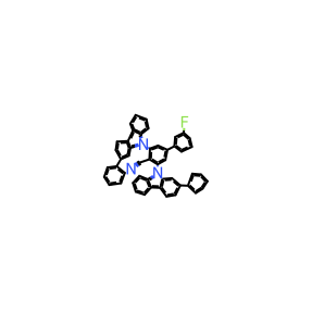 N#Cc1c(-n2c3ccccc3c3ccc(-c4ccccc4)cc32)cc(-c2cccc(F)c2)cc1-n1c2ccccc2c2ccc(-c3ccccc3)cc21